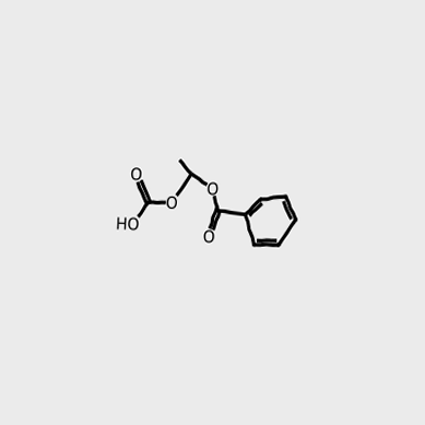 CC(OC(=O)O)OC(=O)c1ccccc1